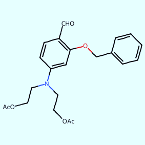 CC(=O)OCCN(CCOC(C)=O)c1ccc(C=O)c(OCc2ccccc2)c1